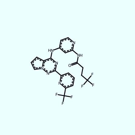 O=C(CCC(F)(F)F)Nc1cc(Nc2nc(-c3cccc(C(F)(F)F)n3)nn3cccc23)ccn1